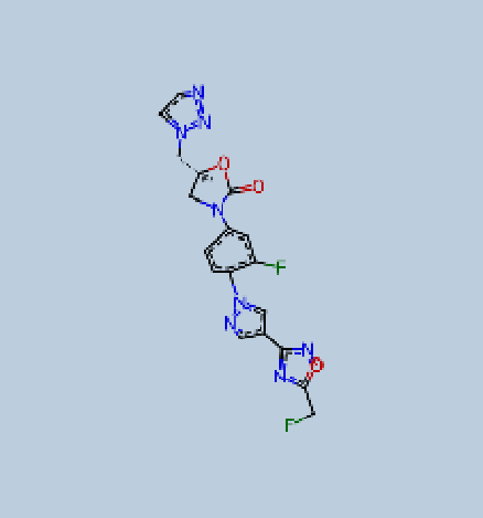 O=C1O[C@@H](Cn2ccnn2)CN1c1ccc(-n2cc(-c3noc(CF)n3)cn2)c(F)c1